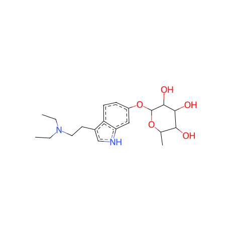 CCN(CC)CCc1c[nH]c2cc(OC3OC(C)C(O)C(O)C3O)ccc12